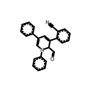 N#Cc1ccccc1C1=CC(c2ccccc2)=CN(c2ccccc2)C1C=O